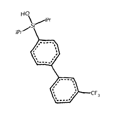 CC(C)[Si](O)(c1ccc(-c2cccc(C(F)(F)F)c2)cc1)C(C)C